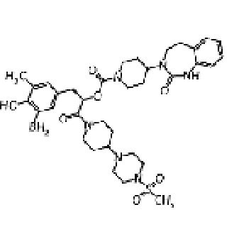 Bc1cc(C[C@@H](OC(=O)N2CCC(N3CCc4ccccc4NC3=O)CC2)C(=O)N2CCC(N3CCN(S(C)(=O)=O)CC3)CC2)cc(C)c1O